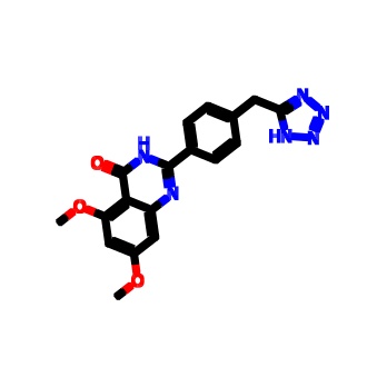 COc1cc(OC)c2c(=O)[nH]c(-c3ccc(Cc4nnn[nH]4)cc3)nc2c1